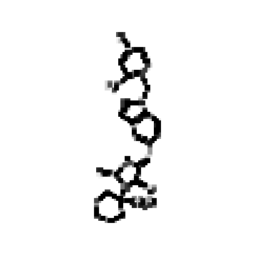 CCOC(=O)C1(N2C(=O)SC(=Cc3ccc4c(cnn4Cc4ccc(Cl)cc4C(F)(F)F)c3)C2=O)CCCCC1